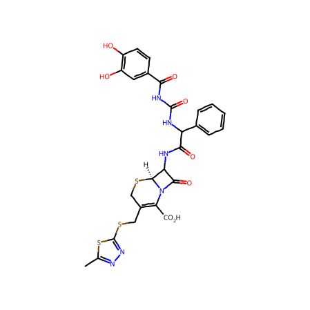 Cc1nnc(SCC2=C(C(=O)O)N3C(=O)C(NC(=O)C(NC(=O)NC(=O)c4ccc(O)c(O)c4)c4ccccc4)[C@@H]3SC2)s1